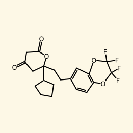 O=C1CC(=O)OC(CCc2ccc3c(c2)OC(F)(F)C(F)(F)O3)(C2CCCC2)C1